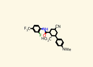 CNc1ccc(C2CC(C#N)CC(C(=O)Nc3ccc(C(F)(F)F)cc3F)[C@H]2C(=O)O)cc1